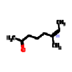 C/C=C(/C)CCCC(C)=O